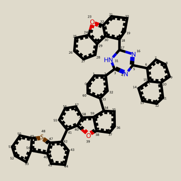 c1cc(C2=NC(c3cccc4ccccc34)=NC(c3cccc4oc5ccccc5c34)N2)cc(-c2cccc3oc4c(-c5cccc6c5sc5ccccc56)cccc4c23)c1